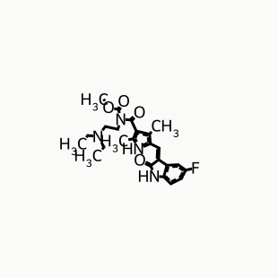 CCN(CC)CCN(C(=O)OC)C(=O)c1c(C)[nH]c(C=C2C(=O)Nc3ccc(F)cc32)c1C